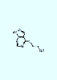 OCCOc1nccc2[nH]ncc12